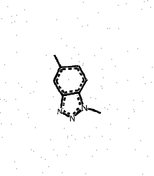 Cc1ccc2c(c1)nnn2C